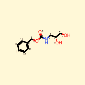 O=C(NC[C@@H](O)CO)OCc1ccccc1